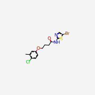 Cc1cc(OCCCC(=O)Nc2ncc(Br)s2)ccc1Cl